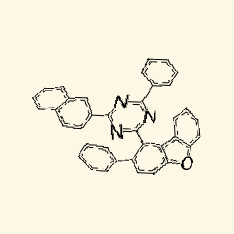 c1ccc(-c2nc(-c3ccc4ccccc4c3)nc(-c3c(-c4ccccc4)ccc4oc5ccccc5c34)n2)cc1